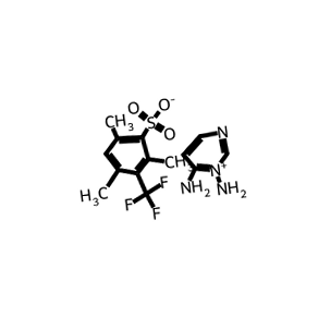 Cc1cc(C)c(S(=O)(=O)[O-])c(C)c1C(F)(F)F.Nc1ccnc[n+]1N